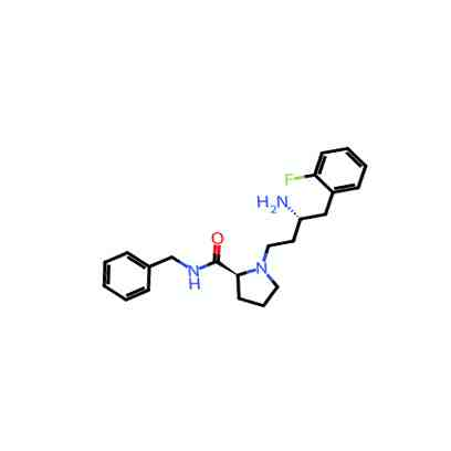 N[C@@H](CCN1CCC[C@H]1C(=O)NCc1ccccc1)Cc1ccccc1F